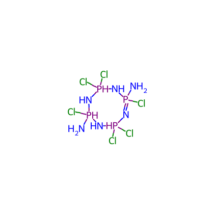 NP1(Cl)=N[PH](Cl)(Cl)N[PH](N)(Cl)N[PH](Cl)(Cl)N1